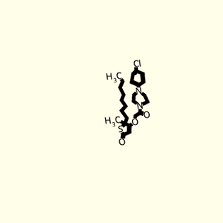 CCCCCCCCC1(C)SC(=O)C=C1OCC(=O)N1CCN(c2ccc(Cl)cc2)CC1